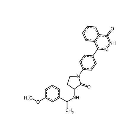 COc1cccc(C(C)NC2CCN(c3ccc(-c4n[nH]c(=O)c5ccccc45)cc3)C2=O)c1